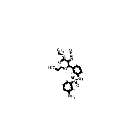 C=CCOC(c1cccc(NS(=O)(=O)c2cccc(N)c2)c1)C(N=C=O)C(=O)OCC